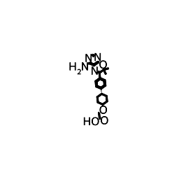 CC1(C)Oc2ncnc(N)c2N=C1c1ccc([C@H]2CC[C@H](OCC(=O)O)CC2)cc1